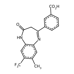 Cc1cc2c(cc1C(F)(F)F)NC(=O)CC(c1cccc(C(=O)O)c1)=N2